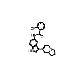 O=C(Nc1ccc2[nH]cc(C3=CCN4CCCC4C3)c2c1)c1ccccc1Cl